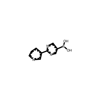 OB(O)c1cnc(-c2cccnc2)nc1